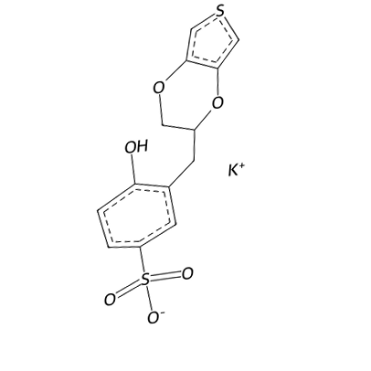 O=S(=O)([O-])c1ccc(O)c(CC2COc3cscc3O2)c1.[K+]